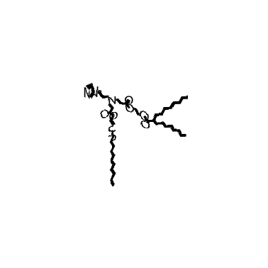 CCCCCCCCCCSSCCOC(=O)CCN(CCCn1ccnc1)CCC(=O)OCCOC(=O)C(CCCCCCCC)CCCCCCCC